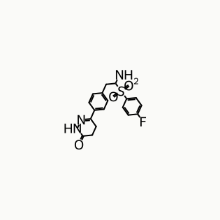 NC(Cc1ccc(C2=NNC(=O)CC2)cc1)S(=O)(=O)c1ccc(F)cc1